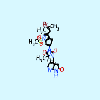 CC(C)(Br)Cc1cn(S(C)(=O)=O)c2cc(N3C(=O)N(Cc4ccnc5c4CC(=O)N5)C(C)(C)C3=O)ccc12